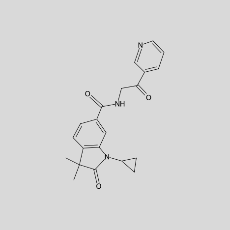 CC1(C)C(=O)N(C2CC2)c2cc(C(=O)NCC(=O)c3cccnc3)ccc21